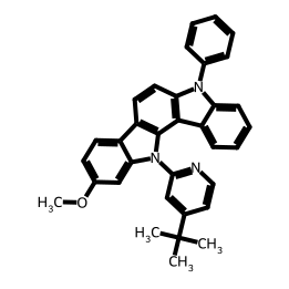 COc1ccc2c3ccc4c(c5ccccc5n4-c4ccccc4)c3n(-c3cc(C(C)(C)C)ccn3)c2c1